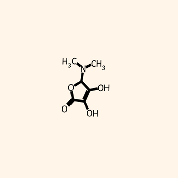 CN(C)C1OC(=O)C(O)=C1O